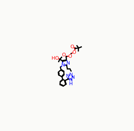 CCCc1nc(C(=O)OCOC(=O)C(C)(C)C)c(C(C)(C)O)n1Cc1ccc(-c2ccccc2-c2nnn[nH]2)cc1